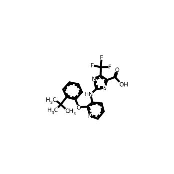 CC(C)(C)c1ccccc1Oc1ncccc1Nc1nc(C(F)(F)F)c(C(=O)O)s1